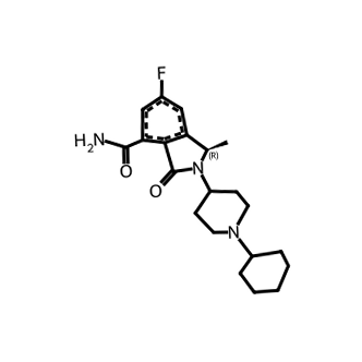 C[C@@H]1c2cc(F)cc(C(N)=O)c2C(=O)N1C1CCN(C2CCCCC2)CC1